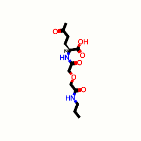 CCCNC(=O)COCC(=O)N[C@@H](CCC(C)=O)C(=O)O